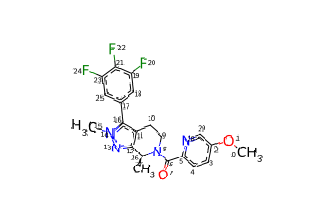 COc1ccc(C(=O)N2CCc3c(nn(C)c3-c3cc(F)c(F)c(F)c3)[C@@H]2C)nc1